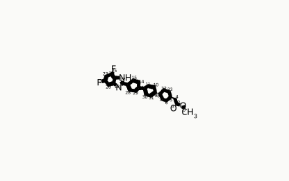 COC(=O)C[C@H]1CC[C@H](c2ccc(-c3ccc(-c4nc5cc(F)cc(F)c5[nH]4)cc3)cc2)CC1